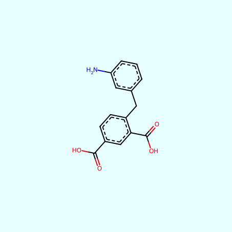 Nc1cccc(Cc2ccc(C(=O)O)cc2C(=O)O)c1